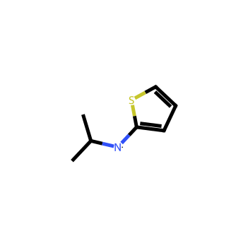 CC(C)[N]c1cccs1